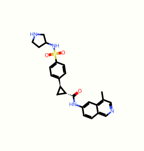 Cc1cncc2ccc(NC(=O)[C@@H]3C[C@H]3c3ccc(S(=O)(=O)NC4CCNC4)cc3)cc12